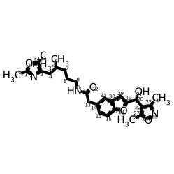 Cc1nc(CC(C)CCCNC(=O)Cc2ccc3oc(C(O)c4c(C)noc4C)cc3c2)c(C)o1